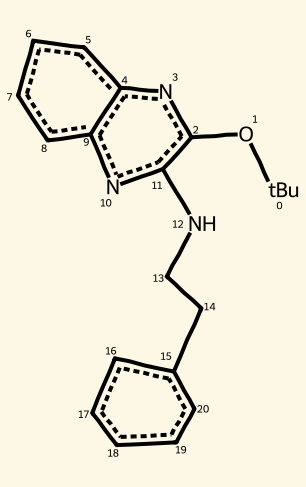 CC(C)(C)Oc1nc2ccccc2nc1NCCc1ccccc1